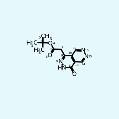 CC(C)(C)OC(=O)Cc1n[nH]c(=O)c2cnncc12